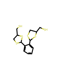 SCC1CSC(c2ccccc2C2SCC(CS)S2)S1